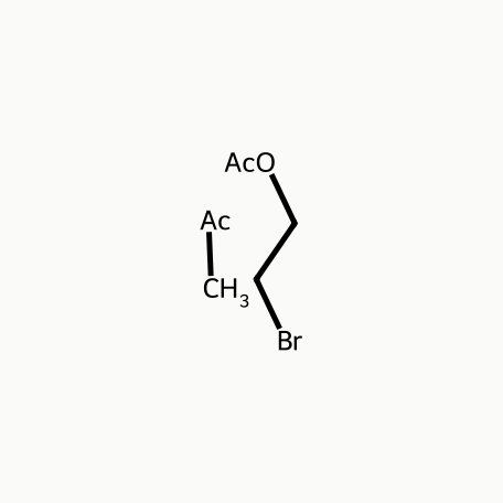 CC(=O)OCCBr.CC(C)=O